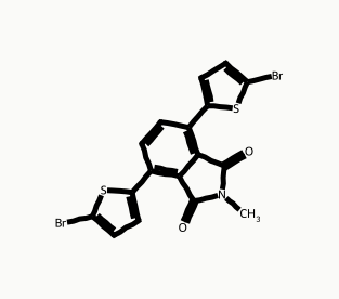 CN1C(=O)c2c(-c3ccc(Br)s3)ccc(-c3ccc(Br)s3)c2C1=O